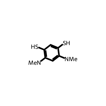 CNc1cc(NC)c(S)cc1S